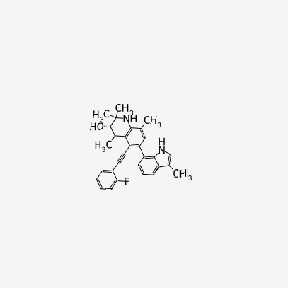 Cc1cc(-c2cccc3c(C)c[nH]c23)c(C#Cc2ccccc2F)c2c1NC(C)(C)[C@@H](O)[C@@H]2C